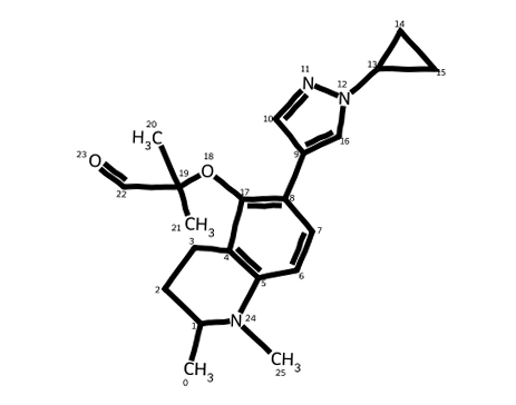 CC1CCc2c(ccc(-c3cnn(C4CC4)c3)c2OC(C)(C)C=O)N1C